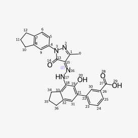 CC1=NN(c2ccc3c(c2)CCC3)C(=O)/C1=N\Nc1c(O)c(-c2cccc(C(=O)O)c2)cc2c1CCC2